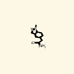 Cn1ncc2cc(CC(N)=O)ccc21